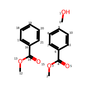 CO.COC(=O)c1ccccc1.COC(=O)c1ccccc1